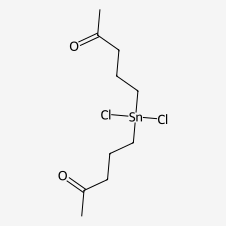 CC(=O)CC[CH2][Sn]([Cl])([Cl])[CH2]CCC(C)=O